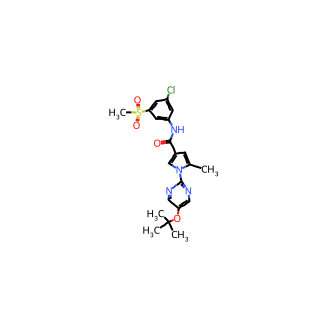 Cc1cc(C(=O)Nc2cc(Cl)cc(S(C)(=O)=O)c2)cn1-c1ncc(OC(C)(C)C)cn1